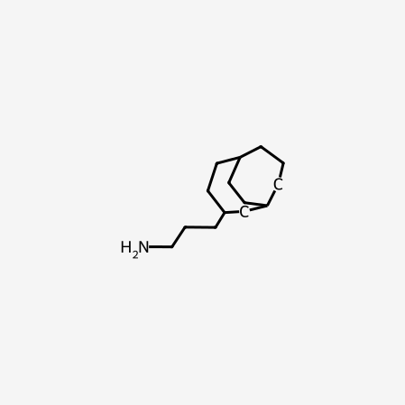 NCCCC1CCC2CCCC(CC2)C1